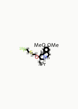 COc1cc2c(cc1OC)[C@@H]1C[C@H](OCCSCC[18F])[C@@H](CC(C)C)CN1CC2